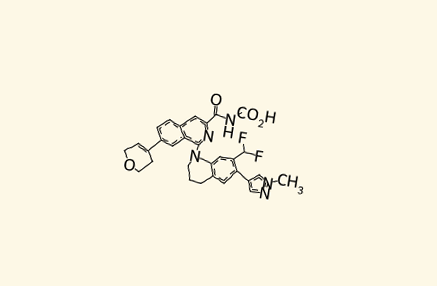 Cn1cc(-c2cc3c(cc2C(F)F)N(c2nc(C(=O)NC(=O)O)cc4ccc(C5=CCOCC5)cc24)CCC3)cn1